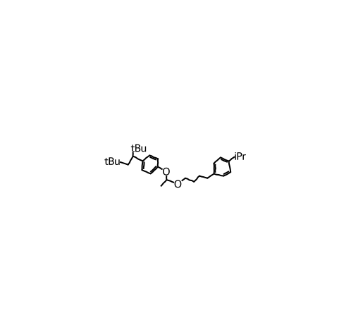 CC(OCCCCc1ccc(C(C)C)cc1)Oc1ccc(C(CC(C)(C)C)C(C)(C)C)cc1